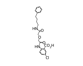 O=C(COCC(=O)Nc1ccc(Cl)cc1C(=O)O)NCCCCc1ccccc1